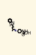 CC(/C=C/[C@H]1CC[C@H](NC(=O)O)CC1)CSc1nc2ccccc2s1